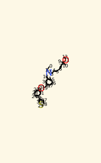 CCN(CC=CC#CC(C)(C)OC)Cc1cccc(COc2cccc(-c3ccsc3)c2)c1